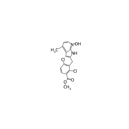 COC(=O)c1ccc(Cl)c(Cc2cc3c(C)cc[n+](O)c3[nH]2)c1Cl